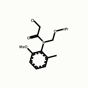 CCCOCN(C(=O)CCl)c1c(C)cccc1OC